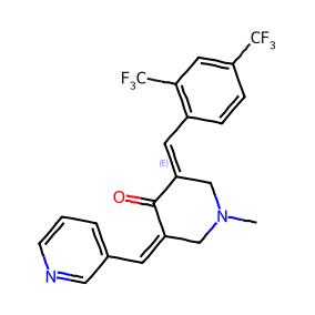 CN1CC(=Cc2cccnc2)C(=O)/C(=C/c2ccc(C(F)(F)F)cc2C(F)(F)F)C1